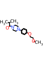 COCCOc1ccc(N2CCN(C(=O)C(C)C)CC2)cc1